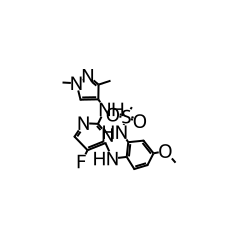 COc1ccc(Nc2nc(Nc3cn(C)nc3C)ncc2F)c(NS(C)(=O)=O)c1